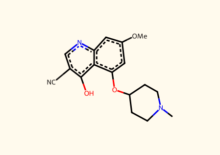 COc1cc(OC2CCN(C)CC2)c2c(O)c(C#N)cnc2c1